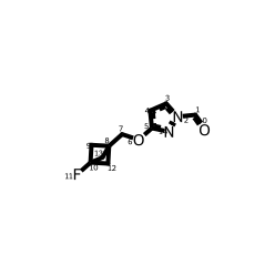 O=Cn1ccc(OCC23CC(F)(C2)C3)n1